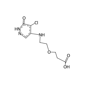 O=C(O)CCOCCNc1cn[nH]c(=O)c1Cl